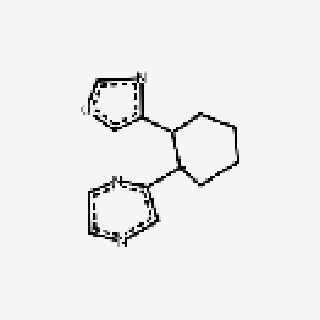 c1cnc([C]2CCCCC2c2cocn2)cn1